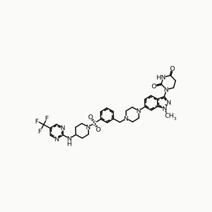 Cn1nc(N2CCC(=O)NC2=O)c2ccc(N3CCN(Cc4cccc(S(=O)(=O)N5CCC(Nc6ncc(C(F)(F)F)cn6)CC5)c4)CC3)cc21